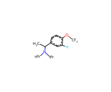 CCCN(C(C)C)C(C)c1ccc(OC(F)(F)F)c(F)c1